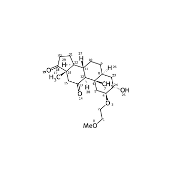 COCCO[C@H]1C[C@@]2(C)[C@@H](CC[C@@H]3[C@@H]2C(=O)C[C@]2(C)C(=O)CC[C@@H]32)C[C@@H]1O